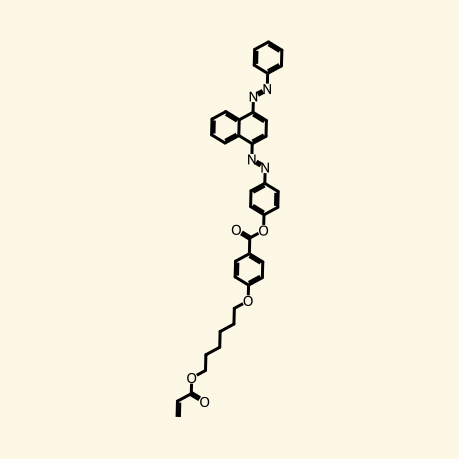 C=CC(=O)OCCCCCCOc1ccc(C(=O)Oc2ccc(N=Nc3ccc(N=Nc4ccccc4)c4ccccc34)cc2)cc1